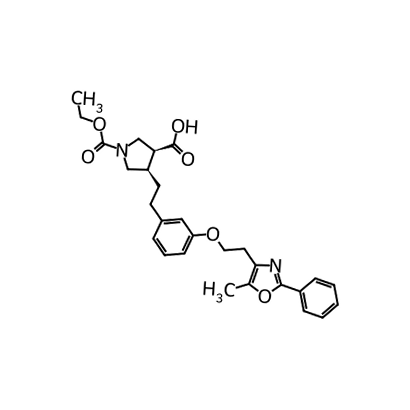 CCOC(=O)N1C[C@H](CCc2cccc(OCCc3nc(-c4ccccc4)oc3C)c2)[C@H](C(=O)O)C1